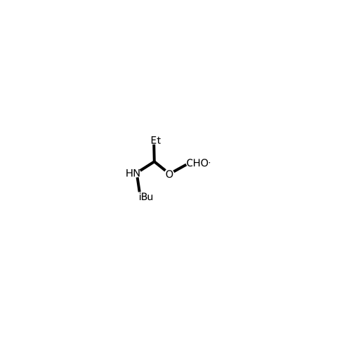 CCC(C)NC(CC)O[C]=O